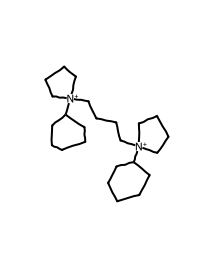 C1CCC([N+]2(CCCC[N+]3(C4CCCCC4)CCCC3)CCCC2)CC1